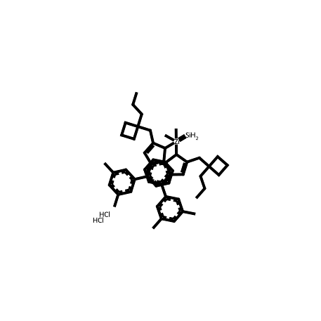 CCCC1(CC2=Cc3c(-c4cc(C)cc(C)c4)cccc3[CH]2[Zr]([CH3])([CH3])(=[SiH2])[CH]2C(CC3(CCC)CCC3)=Cc3c(-c4cc(C)cc(C)c4)cccc32)CCC1.Cl.Cl